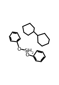 C1CCC(C2CCCCC2)CC1.c1ccc(O[SiH2]Oc2ccccc2)cc1